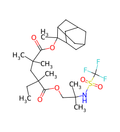 CCC(C)(CC(C)(C)C(=O)OC1(C)C2CC3CC(C2)CC1C3)C(=O)OCC(C)(C)NS(=O)(=O)C(F)(F)F